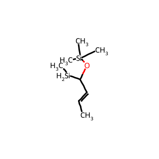 CC=CC(O[Si](C)(C)C)[SiH2]C